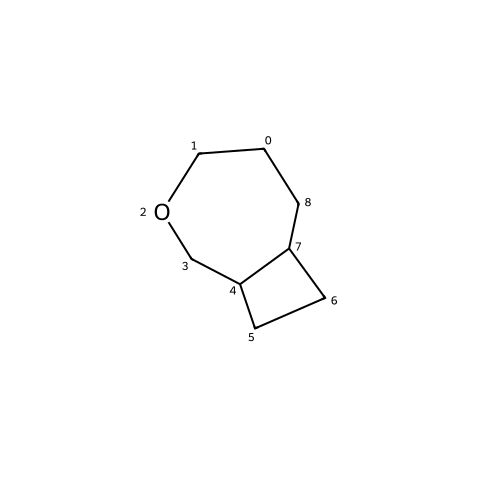 C1COCC2CCC2C1